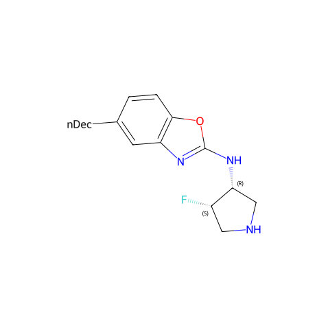 CCCCCCCCCCc1ccc2oc(N[C@@H]3CNC[C@@H]3F)nc2c1